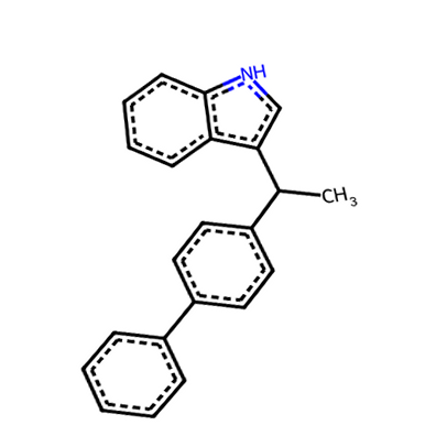 CC(c1ccc(-c2ccccc2)cc1)c1c[nH]c2ccccc12